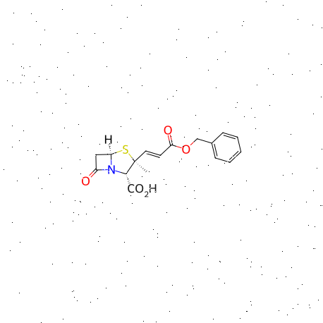 C[C@@]1(/C=C/C(=O)OCc2ccccc2)S[C@@H]2CC(=O)N2[C@H]1C(=O)O